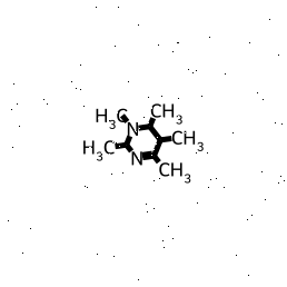 CC1=NC(C)N(C)C(C)C1C